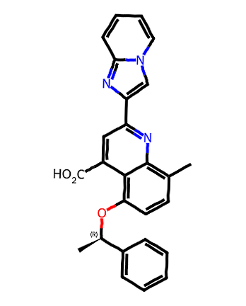 Cc1ccc(O[C@H](C)c2ccccc2)c2c(C(=O)O)cc(-c3cn4ccccc4n3)nc12